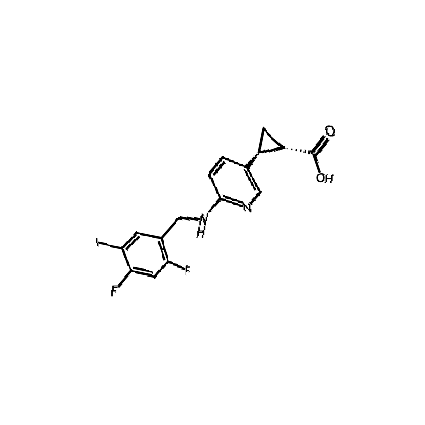 O=C(O)[C@H]1C[C@@H]1c1ccc(NCc2cc(I)c(F)cc2F)nc1